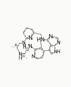 Cc1c(-c2c[nH]c3ncnc(NCc4cccc(N5C[C@@H](C)N[C@@H](C)C5)n4)c23)ccnc1N